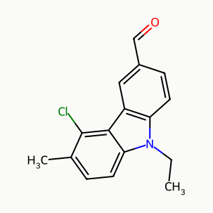 CCn1c2ccc(C=O)cc2c2c(Cl)c(C)ccc21